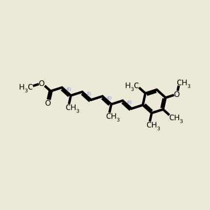 COC(=O)/C=C(C)/C=C/C=C(C)/C=C/c1c(C)cc(OC)c(C)c1C